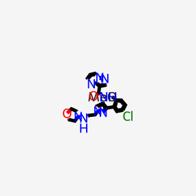 COc1ccc(Cl)cc1-c1nn(CCNN2CCOCC2)cc1NC(=O)c1cnn2cccnc12